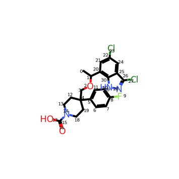 CC(OCC1(c2ccc(F)cc2)CCN(C(=O)O)CC1)c1cc(Cl)cc2c(Cl)n[nH]c12